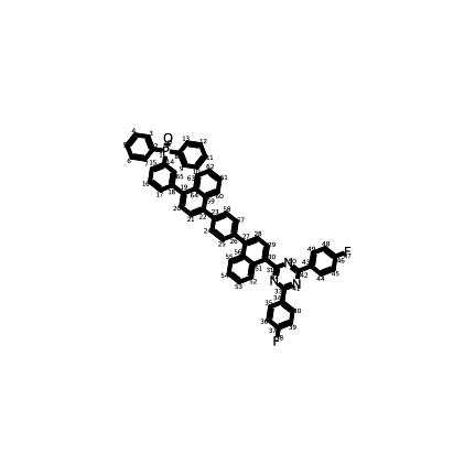 O=P(c1ccccc1)(c1ccccc1)c1cccc(-c2ccc(-c3ccc(-c4ccc(-c5nc(-c6ccc(F)cc6)nc(-c6ccc(F)cc6)n5)c5ccccc45)cc3)c3ccccc23)c1